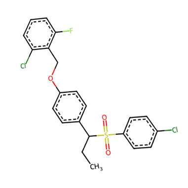 CCC(c1ccc(OCc2c(F)cccc2Cl)cc1)S(=O)(=O)c1ccc(Cl)cc1